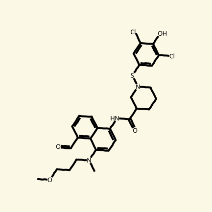 COCCCN(C)c1ccc(NC(=O)C2CCCN(Sc3cc(Cl)c(O)c(Cl)c3)C2)c2cccc(C=O)c12